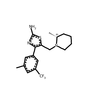 Cc1cc(-c2nc(N)sc2CN2CCCC[C@H]2C)cc(C(F)(F)F)c1